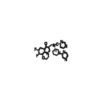 O=c1c(CN(Cc2ccncn2)[C@H]2CCCN(c3cnccn3)C2)cn2c3c(c(F)c(F)cc13)OCC2